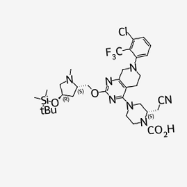 CN1C[C@H](O[Si](C)(C)C(C)(C)C)C[C@H]1COc1nc2c(c(N3CCN(C(=O)O)[C@@H](CC#N)C3)n1)CCN(c1cccc(Cl)c1C(F)(F)F)C2